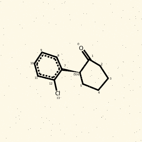 O=C1[CH]CCC[C@H]1c1ccccc1Cl